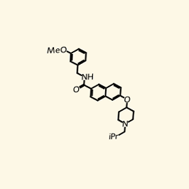 COc1cccc(CNC(=O)c2ccc3cc(OC4CCN(CC(C)C)CC4)ccc3c2)c1